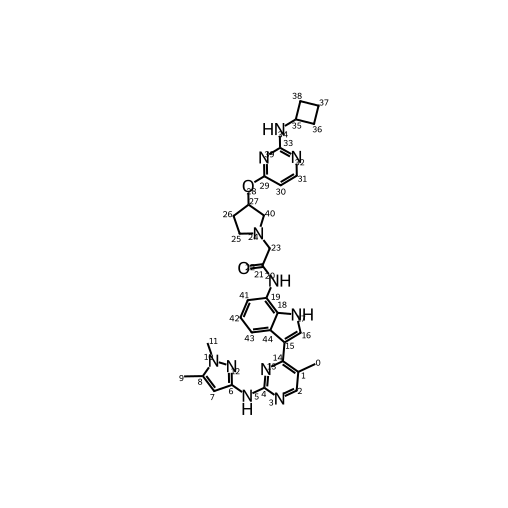 Cc1cnc(Nc2cc(C)n(C)n2)nc1-c1c[nH]c2c(NC(=O)CN3CCC(Oc4ccnc(NC5CCC5)n4)C3)cccc12